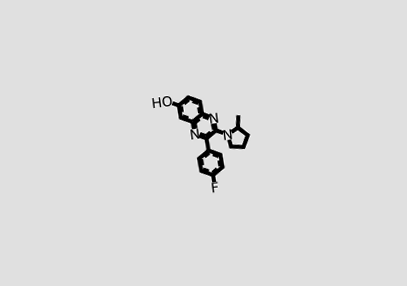 CC1CCCN1c1nc2ccc(O)cc2nc1-c1ccc(F)cc1